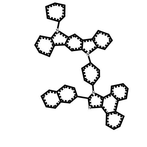 c1ccc(-n2c3ccccc3c3cc4c(cc32)c2ccccc2n4-c2ccc(-n3c(-c4ccc5ccccc5c4)nc4c5ccccc5c5ccccc5c43)cc2)cc1